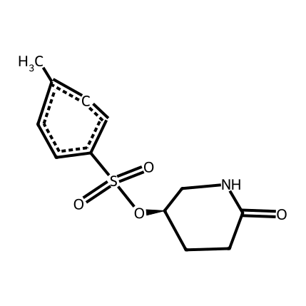 Cc1ccc(S(=O)(=O)O[C@@H]2CCC(=O)NC2)cc1